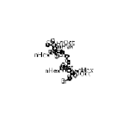 CCCCCCCCC(CCCCCC)CN1C(=O)C(c2cccs2)=c2cc3c(cc21)=C(c1ccc(-c2ccc(-c4ccc(C5=c6cc7c(cc6N(CC(CCCCCC)CCCCCCCC)C5=O)=C(c5ccc(Br)s5)C(=O)N7CC(CCCCCC)CCCCCCCC)s4)s2)s1)C(=O)N3CC(CCCCCC)CCCCCCCC